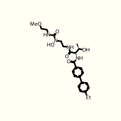 CCc1ccc(-c2ccc(C(=O)N[C@H](C(=O)NCCN(O)C(=O)NCCOC)[C@@H](C)O)cc2)cc1